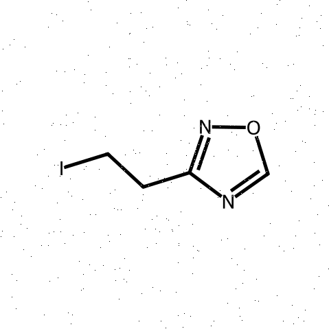 ICCc1ncon1